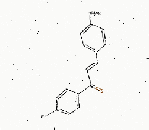 CCCCCCc1ccc(C=CC(=S)c2ccc(CC)cc2)cc1